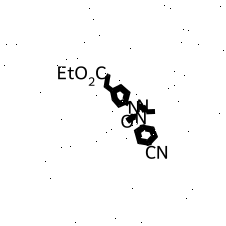 CCOC(=O)CCc1ccc(-n2nc(C)n(-c3ccc(C#N)cc3)c2=O)cc1